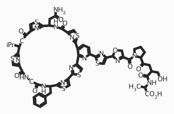 CC(NC(=O)C(CO)CC(=O)C1CCCN1C(=O)C1=NC(c2csc(-c3ccc4c(n3)-c3csc(n3)-c3csc(n3)C(Cc3ccccc3)NC(=O)CNC(=O)c3csc(n3)C(C(C)C)CC(=O)c3csc(n3)C(CC(N)=O)NC(=O)c3csc-4n3)n2)OC1)C(=O)O